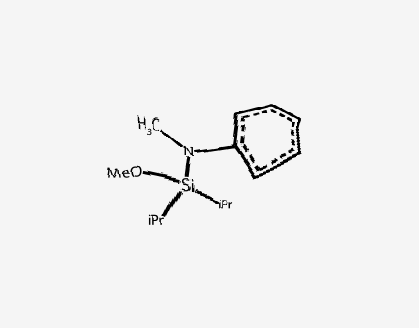 CO[Si](C(C)C)(C(C)C)N(C)c1ccccc1